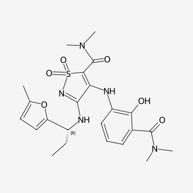 CC[C@@H](NC1=NS(=O)(=O)C(C(=O)N(C)C)=C1Nc1cccc(C(=O)N(C)C)c1O)c1ccc(C)o1